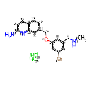 CNCc1cc(Br)cc(OCc2ccc3ccc(N)nc3c2)c1.Cl.Cl